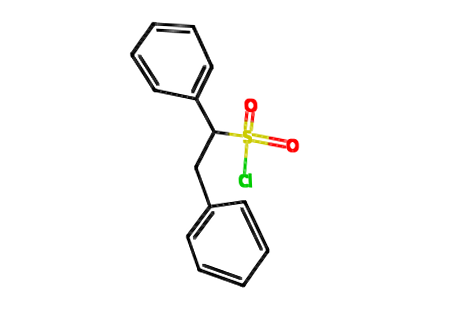 O=S(=O)(Cl)C(Cc1ccccc1)c1ccccc1